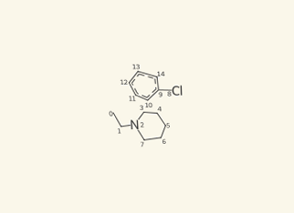 CCN1CCCCC1.Clc1ccccc1